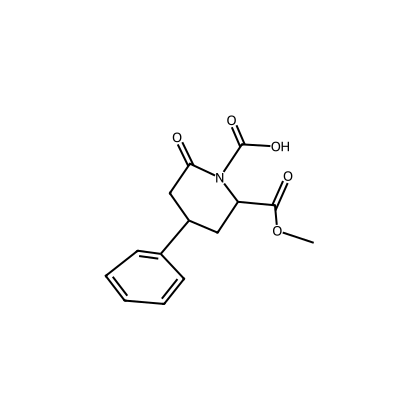 COC(=O)C1CC(c2ccccc2)CC(=O)N1C(=O)O